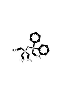 C=C[Si](C=C)(C=C)O[Si](C=C)(c1ccccc1)c1ccccc1